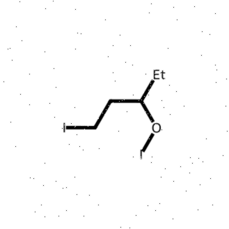 CCC(CCI)OI